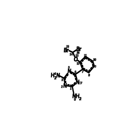 Nc1nc(N)nc(-c2ccccc2OC(Br)Br)n1